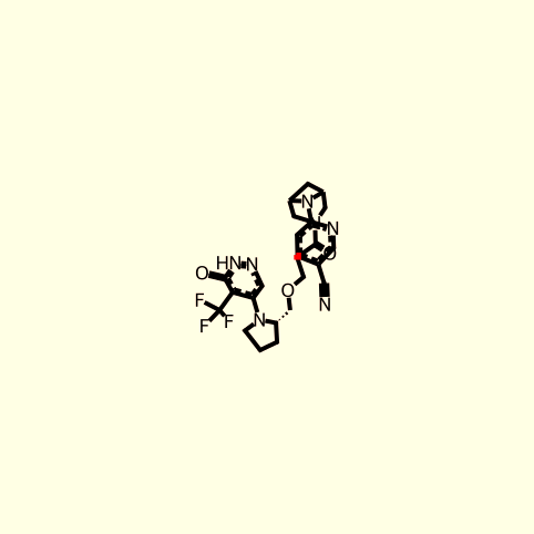 N#Cc1ccc(N2C3CC2CN(C(=O)CCOC[C@@H]2CCCN2c2cn[nH]c(=O)c2C(F)(F)F)C3)nc1